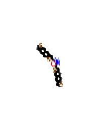 c1cc2cc3cc4sc(-c5nnc(-c6cc7cc8cc9sccc9cc8cc7s6)o5)cc4cc3cc2s1